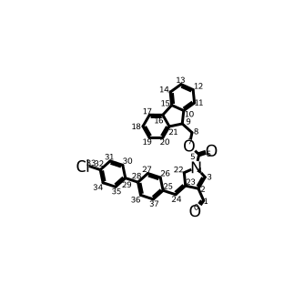 O=CC1=CN(C(=O)OCC2c3ccccc3-c3ccccc32)CC1=Cc1ccc(-c2ccc(Cl)cc2)cc1